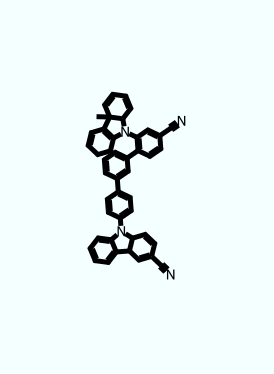 CC12C=CC=CC1N(c1cc(C#N)ccc1-c1cccc(-c3ccc(N4c5ccccc5C5C=C(C#N)C=CC54)cc3)c1)C1=C2C=CCC1